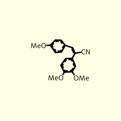 COc1ccc(C=C(C#N)c2ccc(OC)c(OC)c2)cc1